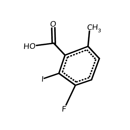 Cc1ccc(F)c(I)c1C(=O)O